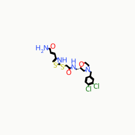 NC(=O)/C=C/C1=CSC(SCC(=O)NC[C@H]2CN(Cc3ccc(Cl)c(Cl)c3)CCO2)N1